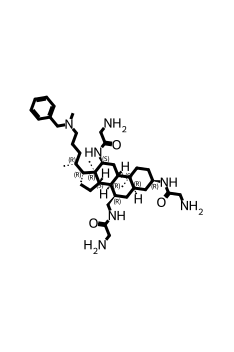 C[C@H](CCCN(C)Cc1ccccc1)[C@H]1CC[C@H]2[C@@H]3[C@H](CNC(=O)CN)C[C@@H]4C[C@H](NC(=O)CN)CC[C@]4(C)[C@H]3C[C@H](NC(=O)CN)[C@]12C